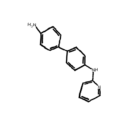 Nc1ccc(-c2ccc(Nc3ccccn3)cc2)cc1